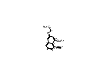 C#Cc1cccc2cc(OCOC)cc(OC)c12